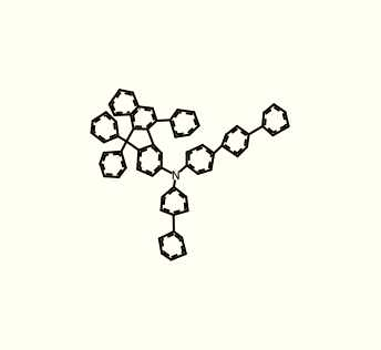 c1ccc(-c2ccc(-c3ccc(N(c4ccc(-c5ccccc5)cc4)c4ccc5c(c4)-c4c(-c6ccccc6)cc6ccccc6c4C5(c4ccccc4)c4ccccc4)cc3)cc2)cc1